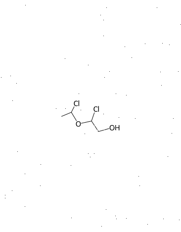 CC(Cl)OC(Cl)CO